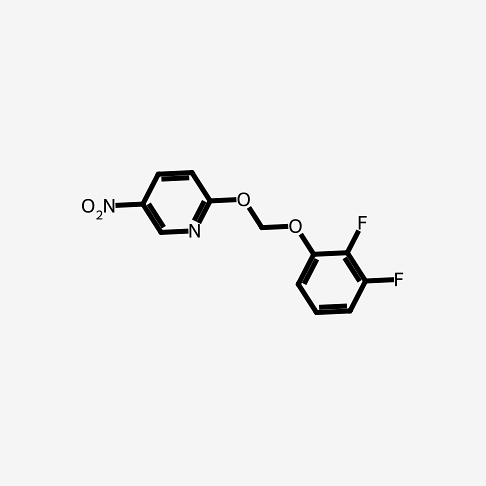 O=[N+]([O-])c1ccc(OCOc2cccc(F)c2F)nc1